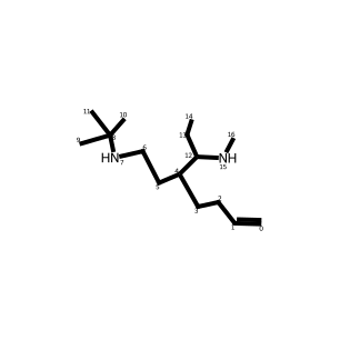 C=CCCC(CCNC(C)(C)C)C(CC)NC